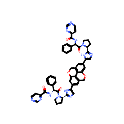 O=C(NC(C(=O)N1CCC[C@H]1c1ncc(-c2cc3c4c(c2)OCc2cc(-c5cnc([C@@H]6CCCN6C(=O)[C@H](NC(=O)c6ccncn6)c6ccccc6)[nH]5)cc(c2-4)OC3)[nH]1)c1ccccc1)c1ccncn1